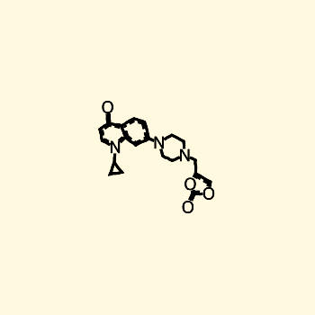 O=c1occ(CN2CCN(c3ccc4c(=O)ccn(C5CC5)c4c3)CC2)o1